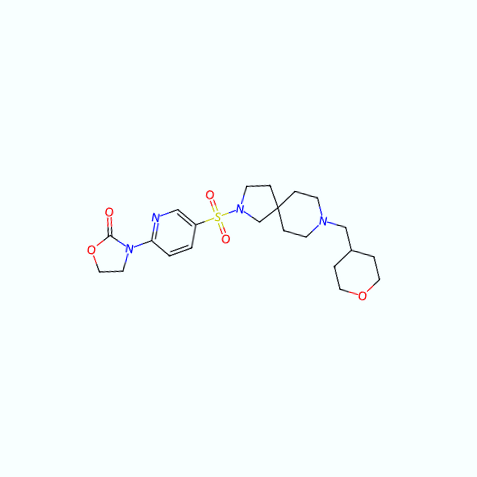 O=C1OCCN1c1ccc(S(=O)(=O)N2CCC3(CCN(CC4CCOCC4)CC3)C2)cn1